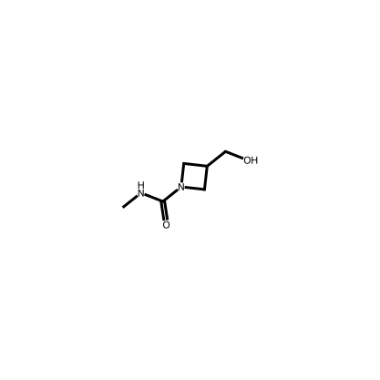 CNC(=O)N1CC(CO)C1